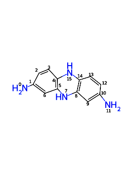 Nc1ccc2c(c1)Nc1cc(N)ccc1N2